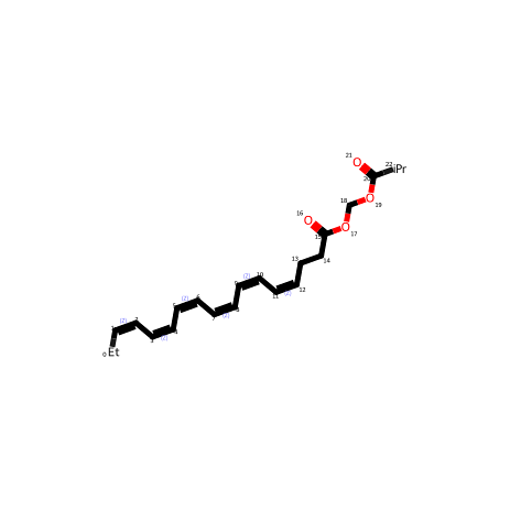 CC\C=C/C=C\C=C/C=C\C=C/C=C\CCC(=O)OCOC(=O)C(C)C